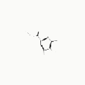 CC(C)OC(=O)c1cc(I)c(O)c(I)c1